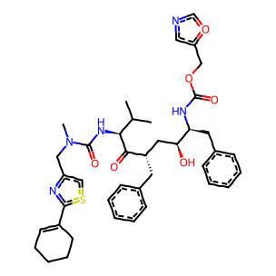 CC(C)[C@H](NC(=O)N(C)Cc1csc(C2=CCCCC2)n1)C(=O)[C@@H](Cc1ccccc1)C[C@H](O)[C@H](Cc1ccccc1)NC(=O)OCc1cnco1